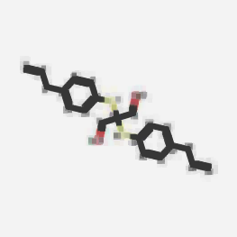 C=CCc1ccc(SC([C]=O)(C=O)Sc2ccc(CC=C)cc2)cc1